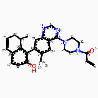 C=CC(=O)N1CCN(c2ncnc3cc(-c4c(O)ccc5c4C(C)CC=C5)c(C(F)(F)F)cc23)CC1